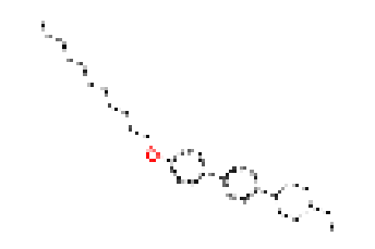 CCCCCCCCCCCOc1ccc(-c2ccc(C3CCC(CC)CC3)cc2)cc1